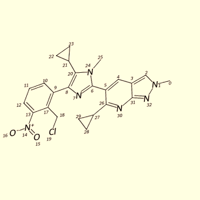 Cn1cc2cc(-c3nc(-c4cccc([N+](=O)[O-])c4CCl)c(C4CC4)n3C)c(C3CC3)nc2n1